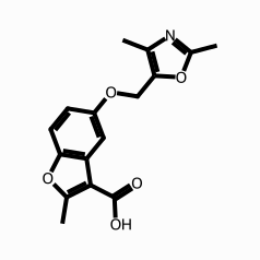 Cc1nc(C)c(COc2ccc3oc(C)c(C(=O)O)c3c2)o1